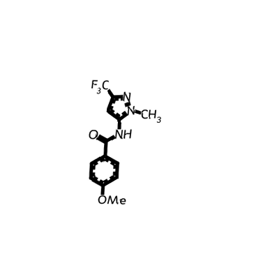 COc1ccc(C(=O)Nc2cc(C(F)(F)F)nn2C)cc1